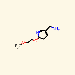 NCC1=CCC(OCCOC(F)(F)F)N=C1